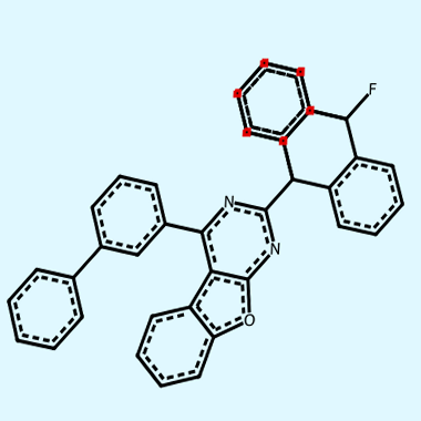 FC12c3ccccc3C(c3nc(-c4cccc(-c5ccccc5)c4)c4c(n3)oc3ccccc34)(c3ccccc31)c1ccccc12